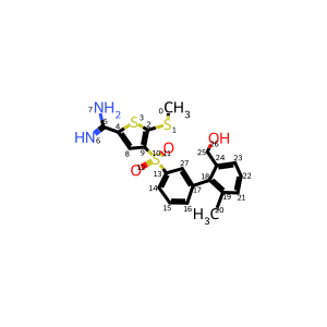 CSc1sc(C(=N)N)cc1S(=O)(=O)c1cccc(-c2c(C)cccc2CO)c1